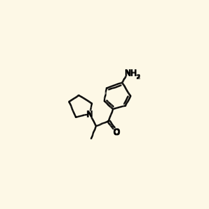 CC(C(=O)c1ccc(N)cc1)N1CCCC1